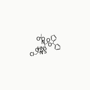 CC(=O)O/N=C(\C(=O)OC(c1ccccc1)c1ccccc1)c1cs/c(=N/C(=O)CCl)[nH]1